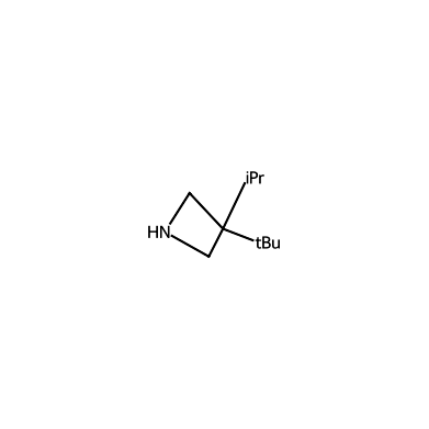 CC(C)C1(C(C)(C)C)CNC1